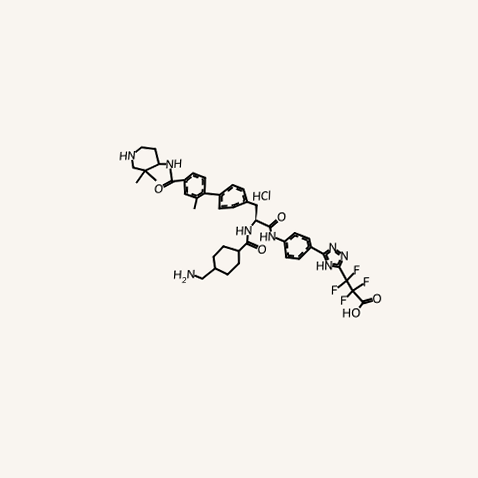 Cc1cc(C(=O)NC2CCNCC2(C)C)ccc1-c1ccc(C[C@H](NC(=O)C2CCC(CN)CC2)C(=O)Nc2ccc(-c3nnc(C(F)(F)C(F)(F)C(=O)O)[nH]3)cc2)cc1.Cl